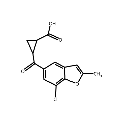 Cc1cc2cc(C(=O)C3CC3C(=O)O)cc(Cl)c2o1